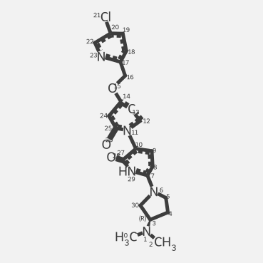 CN(C)[C@@H]1CCN(c2ccc(-n3ccc(OCc4ccc(Cl)cn4)cc3=O)c(=O)[nH]2)C1